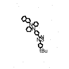 CC(C)(C)c1ccc(-c2nc(-c3ccc(N4C5=C(C=CCC5)N(c5ccc6ccccc6c5)c5ccccc54)cc3)ns2)cc1